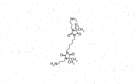 CC1(C)C(=O)N(CCCCCCN2C(=O)N(CCCN)C(C)(C)C2=O)C(=O)N1CCCN